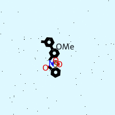 COc1ccc(CN2C(=O)c3ccccc3S2(=O)=O)cc1-c1cccc(C)c1